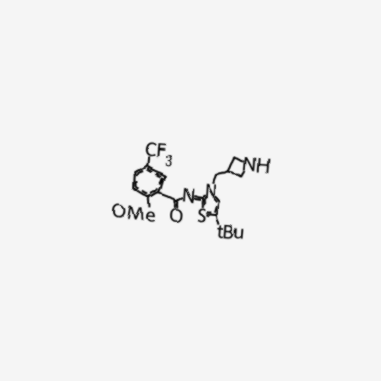 COc1ccc(C(F)(F)F)cc1C(=O)/N=c1\sc(C(C)(C)C)cn1CC1CNC1